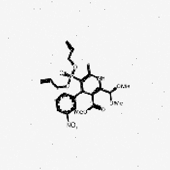 C=CCOP(=O)(OCC=C)C1=C(C)NC(C(OC)OC)=C(C(=O)OC)C1c1cccc([N+](=O)[O-])c1